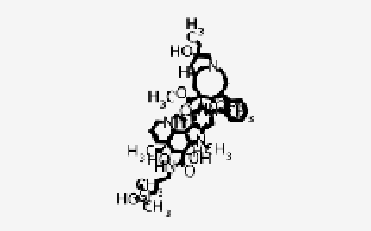 CC[C@]1(O)C[C@H]2CN(CCc3c([nH]c4ccccc34)[C@@](C(=O)OC)(c3cc4c(cc3OC)N(C)[C@H]3[C@@](O)(C(=O)NCCC[Si](C)(C)O)[C@H](O)[C@]5(CC)C=CCN6CC[C@]43[C@@H]65)C2)C1